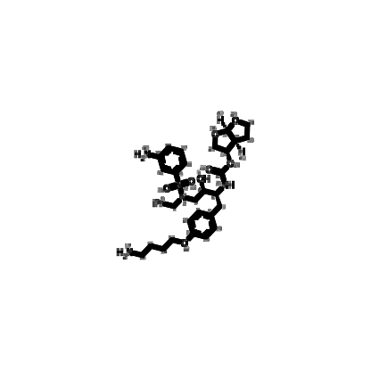 CC(C)CN(C[C@@H](O)[C@H](Cc1ccc(OCCCCN)cc1)NC(=O)O[C@H]1CO[C@H]2OCC[C@H]21)S(=O)(=O)c1cccc(N)c1